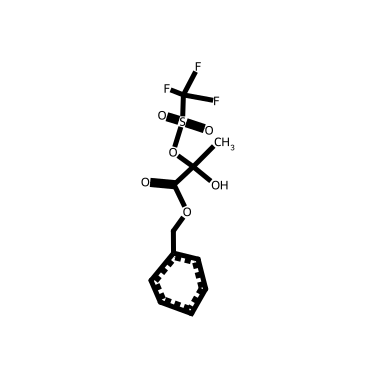 CC(O)(OS(=O)(=O)C(F)(F)F)C(=O)OCc1ccccc1